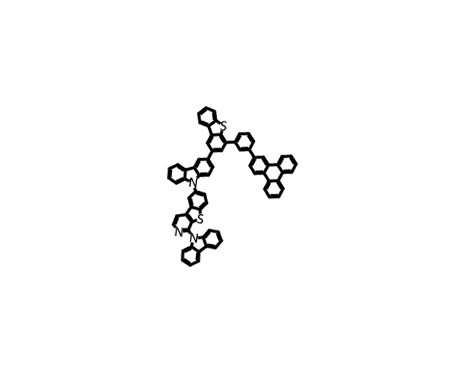 c1cc(-c2ccc3c4ccccc4c4ccccc4c3c2)cc(-c2cc(-c3ccc4c(c3)c3ccccc3n4-c3ccc4sc5c(-n6c7ccccc7c7ccccc76)nccc5c4c3)cc3c2sc2ccccc23)c1